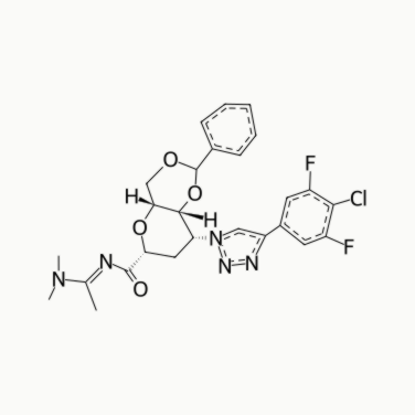 C/C(=N\C(=O)[C@H]1C[C@@H](n2cc(-c3cc(F)c(Cl)c(F)c3)nn2)[C@H]2OC(c3ccccc3)OC[C@H]2O1)N(C)C